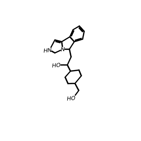 OCC1CCC(C(O)CC2c3ccccc3C3=CNCN32)CC1